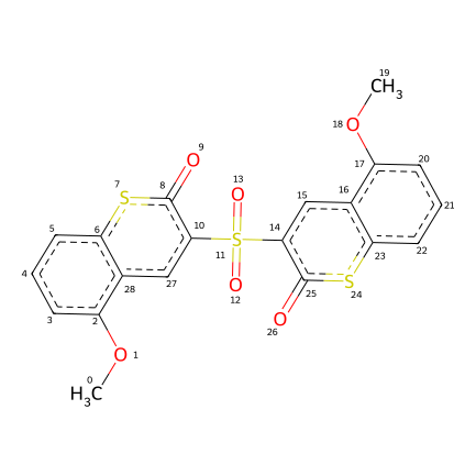 COc1cccc2sc(=O)c(S(=O)(=O)c3cc4c(OC)cccc4sc3=O)cc12